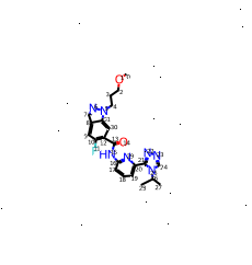 COCCCn1ncc2cc(F)c(C(=O)Nc3cccc(-c4nncn4C(C)C)n3)cc21